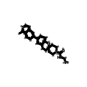 Cc1nccc2cc(-c3ccc4c(c3)CCC3(CCN(C(=O)NCC(C)C)CC3)O4)ccc12